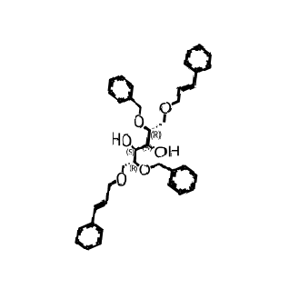 O[C@@H]([C@H](O)[C@@H](COCC=Cc1ccccc1)OCc1ccccc1)[C@@H](COCC=Cc1ccccc1)OCc1ccccc1